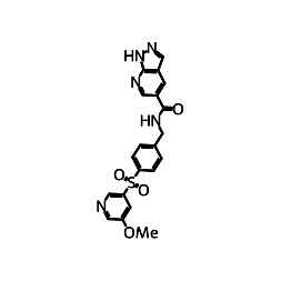 COc1cncc(S(=O)(=O)c2ccc(CNC(=O)c3cnc4[nH]ncc4c3)cc2)c1